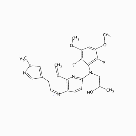 C=Nc1nc(N(CC(C)O)c2c(F)c(OC)cc(OC)c2F)ccc1/N=C\Cc1cnn(C)c1